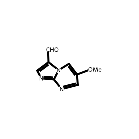 COc1cnc2ncc(C=O)n2c1